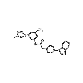 Cc1cn(-c2cc(NC(=O)Cc3ccc(-n4cnc5ccccc54)cc3)cc(C(F)(F)F)c2)cn1